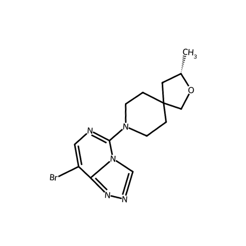 C[C@H]1CC2(CCN(c3ncc(Br)c4nncn34)CC2)CO1